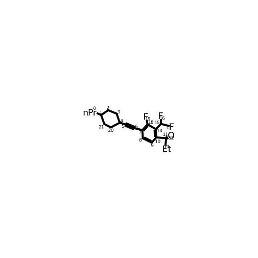 CCCC1CCC(C#Cc2ccc(C(=O)CC)c(C(F)F)c2F)CC1